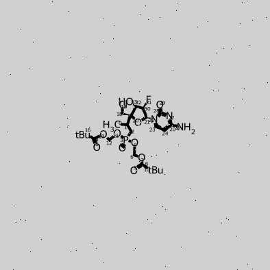 CC(CP(=O)(OCOC(=O)C(C)(C)C)OCOC(=O)C(C)(C)C)[C@@]1(CCl)O[C@@H](n2ccc(N)nc2=O)[C@H](F)[C@@H]1O